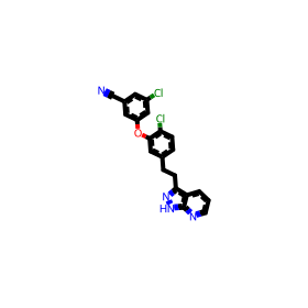 N#Cc1cc(Cl)cc(Oc2cc(CCc3n[nH]c4ncccc34)ccc2Cl)c1